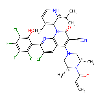 C=CC(=O)N1[C@H](C)CN(c2c(C#N)c(=O)n(C3=C(C)C=CN[C@@H]3C(C)C)c3nc(-c4c(O)c(Cl)c(F)c(F)c4Cl)c(Cl)cc23)C[C@@H]1C